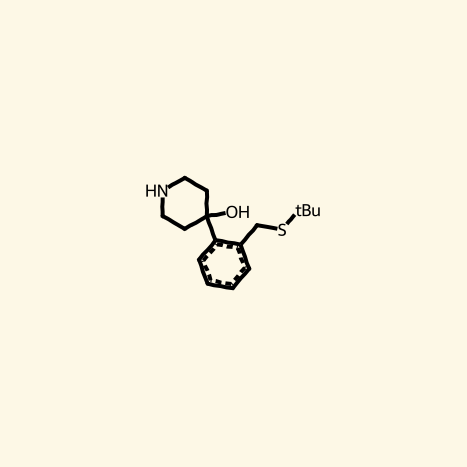 CC(C)(C)SCc1ccccc1C1(O)CCNCC1